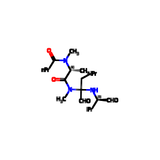 CCCC(=O)N(C)[C@H](C)C(=O)N(C)C(C=O)(CC(C)C)N[C@@H](C=O)C(C)C